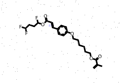 C=C(C)C(=O)OCCCCCCOc1ccc(/C=C/C(=O)OC(F)CCC(F)F)cc1